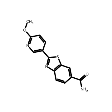 COc1ccc(-c2nc3ccc(C(N)=O)cc3s2)cn1